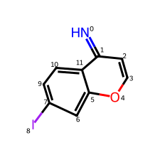 N=c1ccoc2cc(I)ccc12